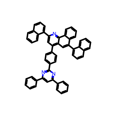 c1ccc(-c2cc(-c3ccccc3)nc(-c3ccc(-c4cc(-c5cccc6ccccc56)nc5c4cc(-c4cccc6ccccc46)c4ccccc45)cc3)n2)cc1